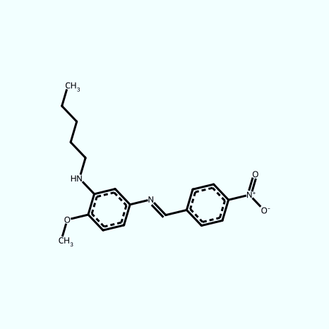 CCCCCNc1cc(N=Cc2ccc([N+](=O)[O-])cc2)ccc1OC